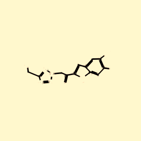 O=C(Cn1nnc(CCl)n1)c1cc2cc(F)c(Cl)cc2o1